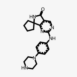 O=C1NC2(CCCC2)c2nc(Nc3ccc(N4CCNCC4)cc3)ncc21